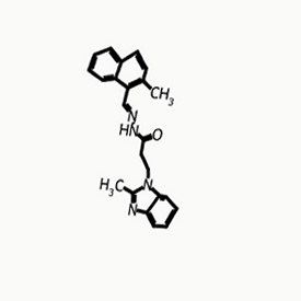 Cc1ccc2ccccc2c1/C=N/NC(=O)CCn1c(C)nc2ccccc21